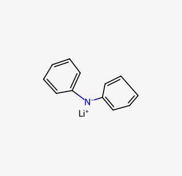 [Li+].c1ccc([N-]c2ccccc2)cc1